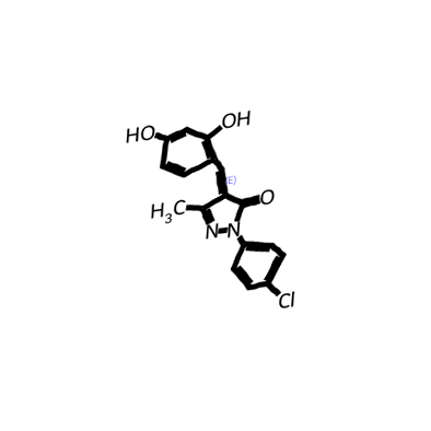 CC1=NN(c2ccc(Cl)cc2)C(=O)/C1=C/c1ccc(O)cc1O